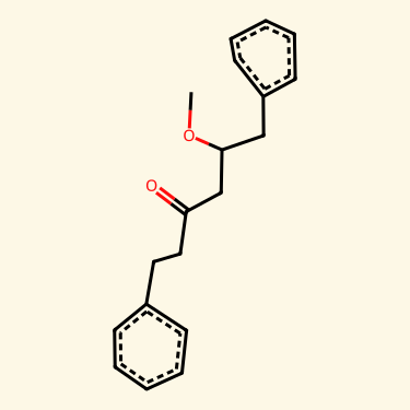 COC(CC(=O)CCc1ccccc1)Cc1ccccc1